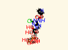 O=C(Nc1nc(Cl)nc2c1ncn2[C@@H]1O[C@H](COP(=O)(O)CP(=O)(O)O)C(O)C1O)OC1CN2CCC1CC2